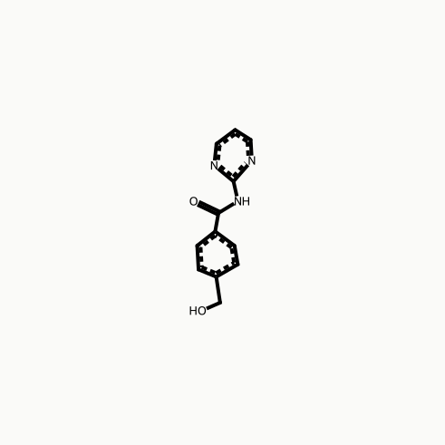 O=C(Nc1ncccn1)c1ccc(CO)cc1